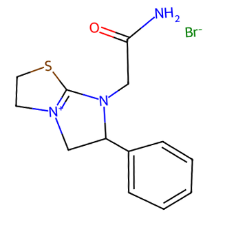 NC(=O)CN1C2=[N+](CCS2)CC1c1ccccc1.[Br-]